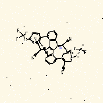 C/C(C#N)=C1\C2=C(C(=C(C#N)C#N)c3cccc(-c4ccc(OC(F)(F)F)cc4C#N)c32)c2c1cccc2-c1ccc(OC(F)(F)F)cc1C#N